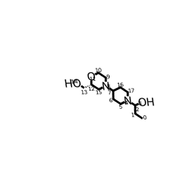 CCC(O)N1CCC(N2CCO[C@@H](CO)C2)CC1